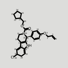 C=CCOc1ccc([C@H]2c3[nH]c4c(c3CCN2C(=O)OCC2CCCC2)=CC(Cl)CC=4)cc1